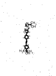 CC(O)c1nccn1Cc1cc(-c2ccc(C#Cc3ccc(C(C)(C)O)cc3)cc2)on1